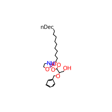 CCCCCCCCCCCCCCCCCCCCOC(OP1(=O)NCCO1)C(CO)OCc1ccccc1